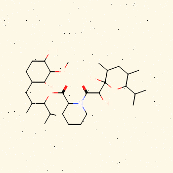 COC1C(O)CCC(CC(C)C(OC(=O)C2CCCCN2C(=O)C(O)C2(O)OC(C(C)C)C(C)CC2C)C(C)C)C1O